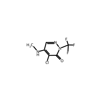 CNc1cnn(C(F)(F)F)c(=O)c1Cl